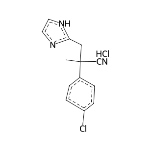 CC(C#N)(Cc1ncc[nH]1)c1ccc(Cl)cc1.Cl